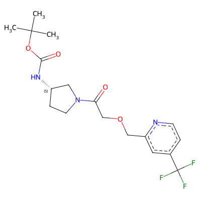 CC(C)(C)OC(=O)N[C@H]1CCN(C(=O)COCc2cc(C(F)(F)F)ccn2)C1